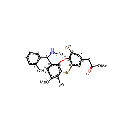 CCC(C)NC(c1ccccc1C)c1cc(OC)c(C(C)C)cc1Oc1c(Br)cc(CC(=O)OC)cc1Br